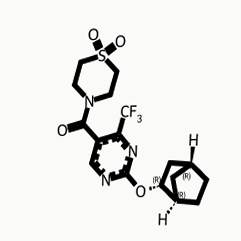 O=C(c1cnc(O[C@@H]2C[C@@H]3CC[C@@H]2C3)nc1C(F)(F)F)N1CCS(=O)(=O)CC1